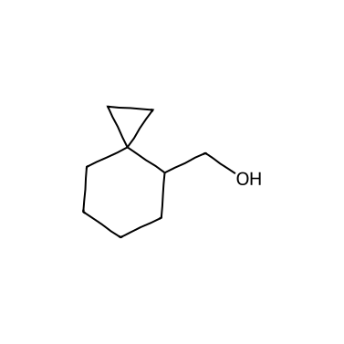 OCC1CCCCC12CC2